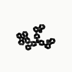 c1ccc(-c2ccc(N(c3ccc(-c4cccc5c4oc4ccccc45)cc3)c3ccc(-c4cccc5c4oc4ccccc45)cc3)cc2-c2ccc3c(c2)-c2ccccc2C32c3ccccc3-c3ccccc32)cc1